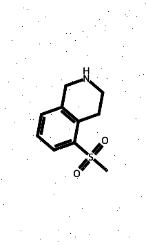 CS(=O)(=O)c1cccc2c1CCNC2